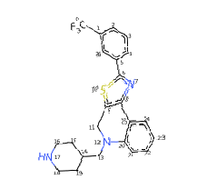 FC(F)(F)c1cccc(-c2nc3c(s2)CN(CC2CCNCC2)c2ccccc2-3)c1